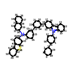 c1ccc(-c2ccc(-n3c4ccccc4c4ccc(-c5cccc(-c6cccc(N(c7ccc8ccccc8c7)c7ccc8c(c7)sc7ccccc78)c6)c5)cc43)cc2)cc1